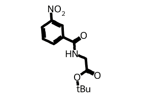 CC(C)(C)OC(=O)CNC(=O)c1cccc([N+](=O)[O-])c1